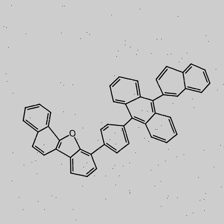 c1ccc2cc(-c3c4ccccc4c(-c4ccc(-c5cccc6c5oc5c7ccccc7ccc65)cc4)c4ccccc34)ccc2c1